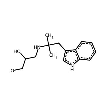 CC(C)(Cc1c[nH]c2ccccc12)NCC(O)C[O]